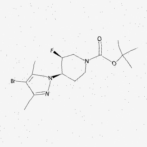 Cc1nn([C@@H]2CCN(C(=O)OC(C)(C)C)C[C@@H]2F)c(C)c1Br